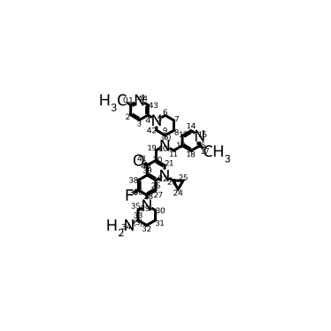 Cc1ccc(N2CCC[C@H](N(Cc3ccnc(C)c3)Cc3cn(C4CC4)c4cc(N5CCC[C@H](N)C5)c(F)cc4c3=O)C2)cn1